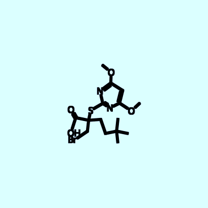 COc1cc(OC)nc(SC(CBr)(CCC(C)(C)C)C(=O)O)n1